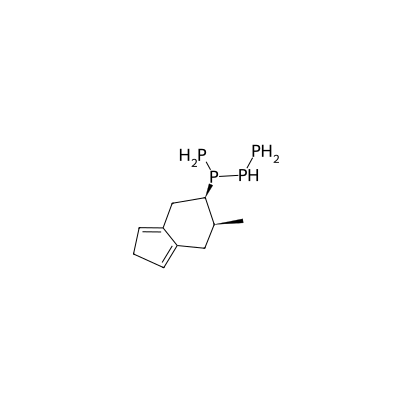 C[C@H]1CC2=CCC=C2C[C@H]1P(P)PP